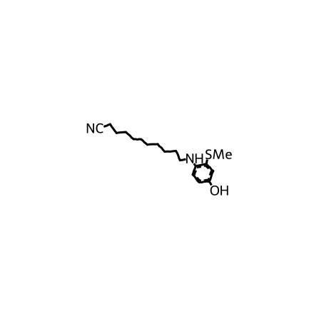 CSc1cc(O)ccc1NCCCCCCCCCCC#N